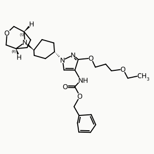 CCOCCCOc1nn([C@H]2CC[C@H](N3[C@@H]4CC[C@H]3COC4)CC2)cc1NC(=O)OCc1ccccc1